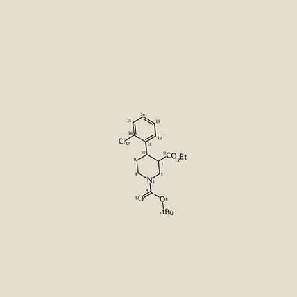 CCOC(=O)C1CN(C(=O)OC(C)(C)C)CCC1c1ccccc1Cl